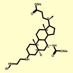 COC(=O)CC[C@@H](C)C1CCC2C3C(CC[C@@]21C)[C@@]1(C)CCC(NCCNC(C)C)C[C@@H]1C[C@H]3NC(=O)OC